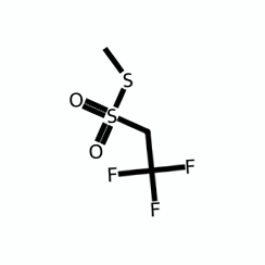 CSS(=O)(=O)CC(F)(F)F